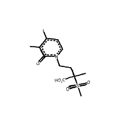 Cc1c(I)ccn(CCC(C)(C(=O)O)S(C)(=O)=O)c1=O